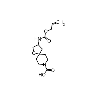 C=CCOC(=O)NC1COC2(CCN(C(=O)O)CC2)C1